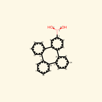 OB(O)c1ccc2c(c1)-c1ccccc1-c1ccccc1-c1ccccc1-2